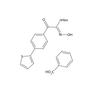 CCCCCCC(=NO)C(=O)c1ccc(-c2cccs2)cc1.O=C(O)c1ccccc1